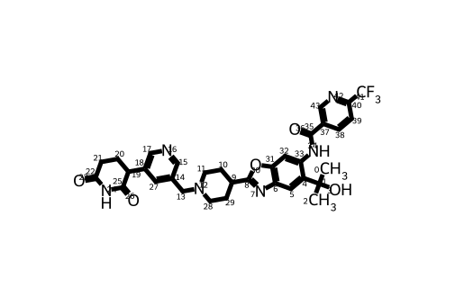 CC(C)(O)c1cc2nc(C3CCN(Cc4cncc(C5CCC(=O)NC5=O)c4)CC3)oc2cc1NC(=O)c1ccc(C(F)(F)F)nc1